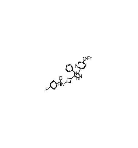 CCOc1ccc(-c2nnc(C3CC(NC(=O)c4ccc(F)cc4)C3)n2-c2ccccc2)nc1